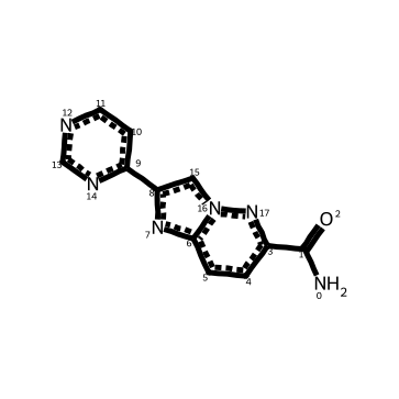 NC(=O)c1ccc2nc(-c3ccncn3)cn2n1